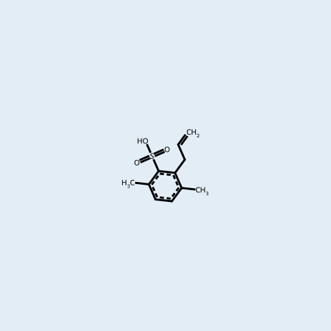 C=CCc1c(C)ccc(C)c1S(=O)(=O)O